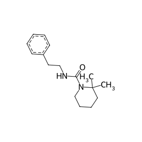 CC1(C)CCCCN1C(=O)NCCc1ccccc1